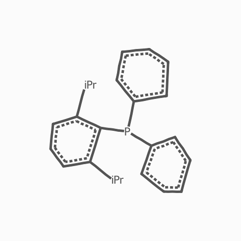 CC(C)c1cccc(C(C)C)c1P(c1ccccc1)c1ccccc1